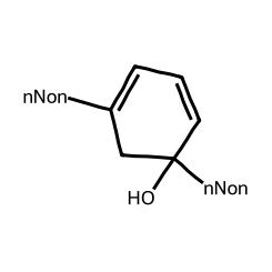 CCCCCCCCCC1=CC=CC(O)(CCCCCCCCC)C1